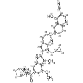 COc1cc(C(=O)N2CC3CCC2[C@@H]3N)cc2nc(-c3cc4ccc(-c5ccc6ncc(C#N)c(O)c6c5)nc4n3CC3CC3)n(C)c12